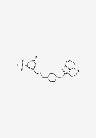 Fc1cc(CCCC2CCN(Cc3nc4c5n3CCOC5CC=C4)CC2)cc(C(F)(F)F)c1